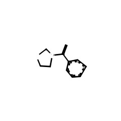 C=C(c1ccccc1)N1CCOC1